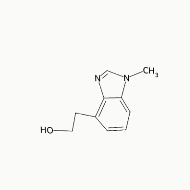 Cn1cnc2c(CCO)cccc21